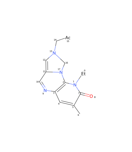 CCn1c2c(cc(C)c1=O)N=CC1=CN(CC(C)=O)CN12